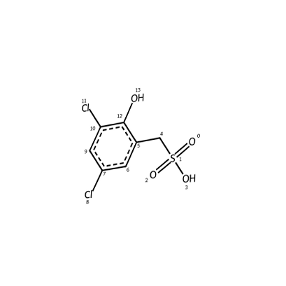 O=S(=O)(O)Cc1cc(Cl)cc(Cl)c1O